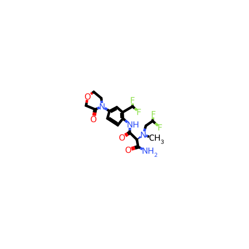 CN(CC(F)F)[C@@H](C(N)=O)C(=O)Nc1ccc(N2CCOCC2=O)cc1C(F)F